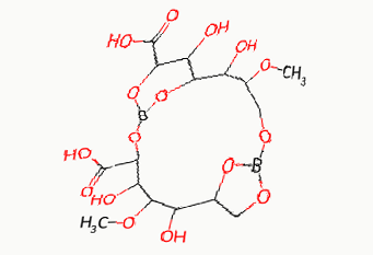 COC1COB2OCC(O2)C(O)C(OC)C(O)C(C(=O)O)OB2OC(C(=O)O)C(O)C(O2)C1O